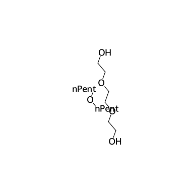 CCCCCOCCCCC.OCCOCCOCCO